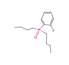 CCCCP(=O)(CCCC)c1ccccc1F